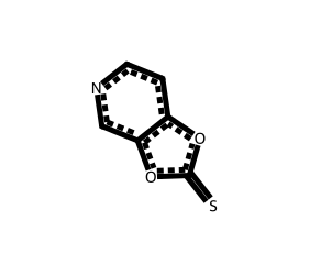 S=c1oc2ccncc2o1